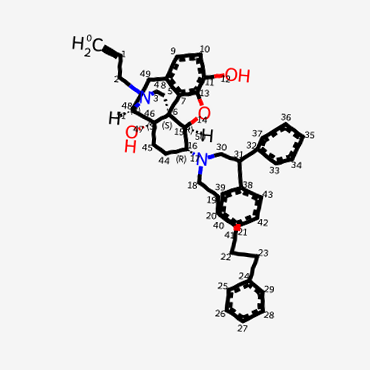 C=CCN1CC[C@]23c4c5ccc(O)c4O[C@H]2[C@H](N(CCCCCCc2ccccc2)CC(c2ccccc2)c2ccccc2)CC[C@@]3(O)[C@H]1C5